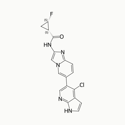 O=C(Nc1cn2cc(-c3cnc4[nH]ccc4c3Cl)ccc2n1)[C@@H]1C[C@@H]1F